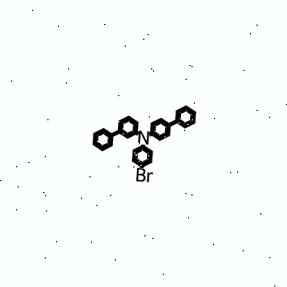 Brc1ccc(N(c2ccc(-c3ccccc3)cc2)c2cccc(-c3ccccc3)c2)cc1